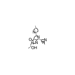 Cc1ccc(-c2cc3c(=O)n(C[C@H](C)O)cnc3c(-c3cnn(C)c3)n2)nc1